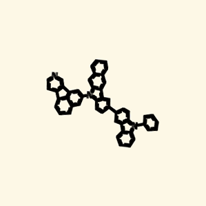 c1ccc(-n2c3ccccc3c3cc(-c4ccc5c(c4)c4cc6ccccc6cc4n5-c4cc5c6c(cccc6c4)-c4ccncc4-5)ccc32)cc1